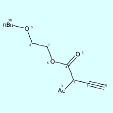 C#CC(C(C)=O)C(=O)OCCOCCCC